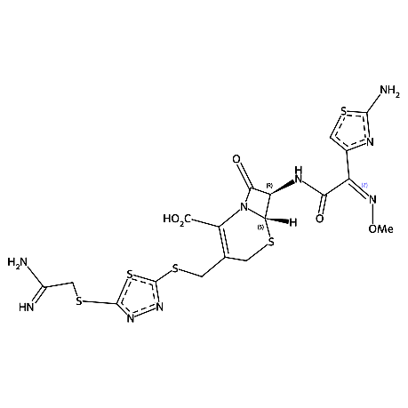 CO/N=C(\C(=O)N[C@@H]1C(=O)N2C(C(=O)O)=C(CSc3nnc(SCC(=N)N)s3)CS[C@@H]12)c1csc(N)n1